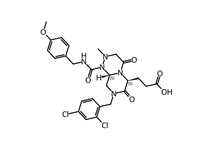 COc1ccc(CNC(=O)N2[C@H]3CN(Cc4ccc(Cl)cc4Cl)C(=O)[C@H](CCC(=O)O)N3C(=O)CN2C)cc1